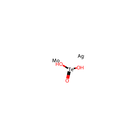 O=[Te](O)O.[Ag].[Mo]